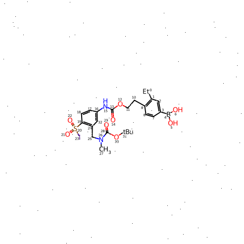 CCc1cc(B(O)O)ccc1CCOC(=O)Nc1ccc(S(=O)(=O)I)c(CN(C)C(=O)OC(C)(C)C)c1